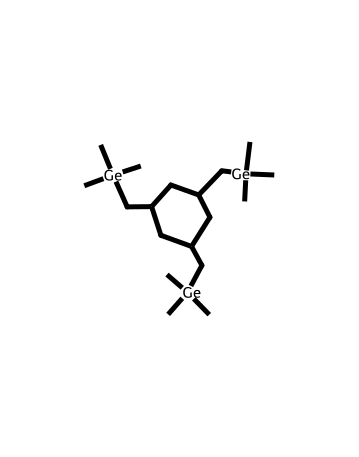 [CH3][Ge]([CH3])([CH3])[CH2]C1CC([CH2][Ge]([CH3])([CH3])[CH3])CC([CH2][Ge]([CH3])([CH3])[CH3])C1